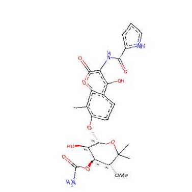 CO[C@@H]1[C@@H](OC(N)=O)[C@@H](O)[C@H](Oc2ccc3c(O)c(NC(=O)c4ccc[nH]4)c(=O)oc3c2C)OC1(C)C